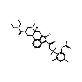 CCN(CC)C(=O)[C@@H]1C=C2c3cccc4c3c(c(Br)n4C(=O)CC(C)(C)c3c(C)cc(C)cc3OC(C)=O)C[C@H]2N(C)C1